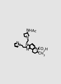 CC(=O)N[C@@H]1CCN(CCn2c(CCn3cccn3)nc3c4c(ccc32)N(C(=O)O)[C@@H](C)CC4)C1